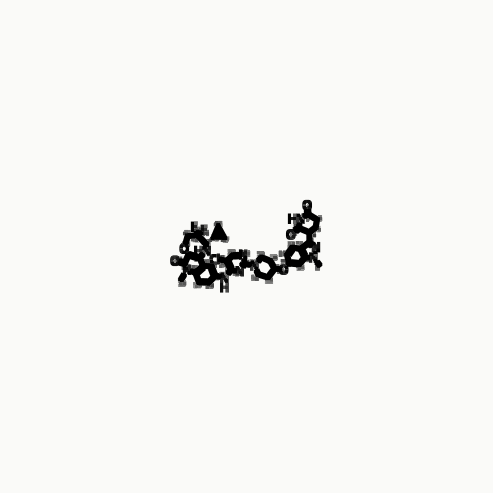 Cn1nc(C2CCC(=O)NC2=O)c2ccc(OC3CCN(c4ncc(Cl)c(Nc5ccc6c(c5)c5c(c(=O)n6C)OCC(F)(F)[C@H](C6CC6)N5)n4)CC3)cc21